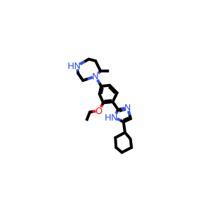 CCOc1cc(N2CCNCCC2C)ccc1-c1ncc(C2CCCCC2)[nH]1